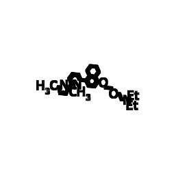 CCN(CC)CCOCCOc1ccc(-c2cccc(C3(C)C=CC(C)=N3)n2)c2c1CCCC2